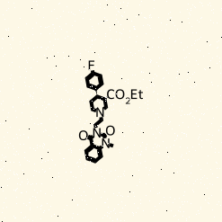 CCOC(=O)[C@@H]1CN(CCn2c(=O)c3ccccc3n(C)c2=O)CC[C@@H]1c1ccc(F)cc1